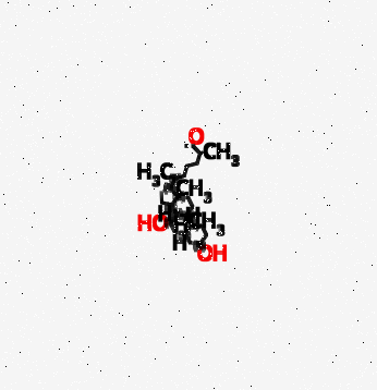 CC([C]=O)CCC[C@@H](C)[C@H]1CC[C@H]2[C@@H]3[C@H](O)C[C@@H]4C[C@H](O)CC[C@]4(C)[C@H]3CC[C@]12C